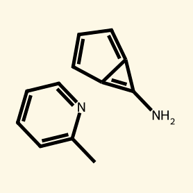 Cc1ccccn1.Nc1c2cccc1-2